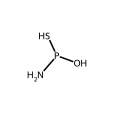 NP(O)S